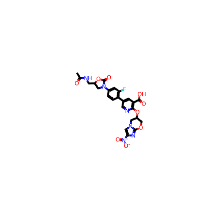 CC(=O)NCC1CN(c2ccc(-c3cnc(OC4COc5nc([N+](=O)[O-])cn5C4)c(C(=O)O)c3)c(F)c2)C(=O)O1